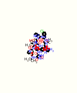 CC(=O)N[C@@H](Cc1ccc2ccccc2c1)C(=O)N[C@H](Cc1ccc(Cl)cc1)C(=O)N[C@@H](Cc1cccnc1)C(=O)N[C@H](CO)C(=O)N[C@H](Cc1ccc(NC(=O)[C@@H]2CC(=O)NC(=O)N2)cc1)C(=O)N[C@H](Cc1ccc(NC(N)=O)cc1)C(=O)N[C@@H](CC(C)C)C(=O)N[C@@H](CCCCNC(C)C)C(=O)N1CCC[C@H]1[C]=O